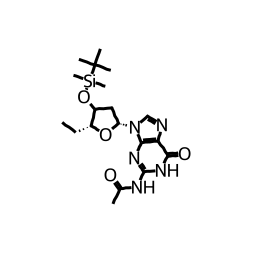 CC[C@H]1O[C@@H](n2cnc3c(=O)[nH]c(NC(C)=O)nc32)CC1O[Si](C)(C)C(C)(C)C